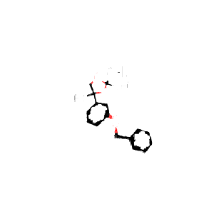 CCC1(c2cccc(OCc3ccccc3)c2)COC(C)(C)O1